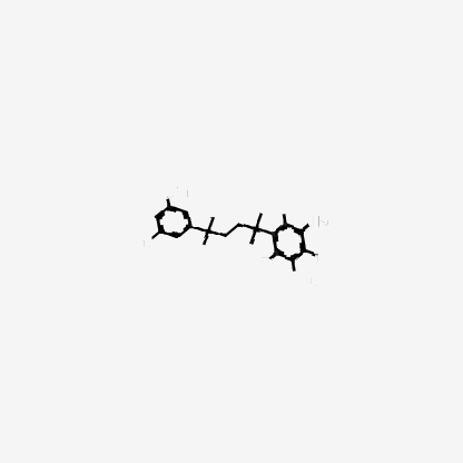 CC(C)(C)c1cc(C(C)(C)C)cc(C(C)(C)CCC(C)(C)c2c(F)c(C(C)(C)C)c(F)c(C(C)(C)C)c2F)c1